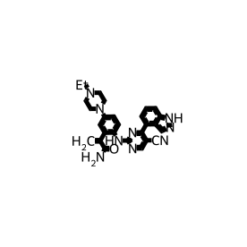 C=C(C(N)=O)c1cc(N2CCN(CC)CC2)ccc1Nc1ncc(C#N)c(-c2cccc3[nH]ncc23)n1